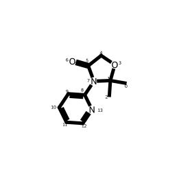 CC1(C)OCC(=O)N1c1ccccn1